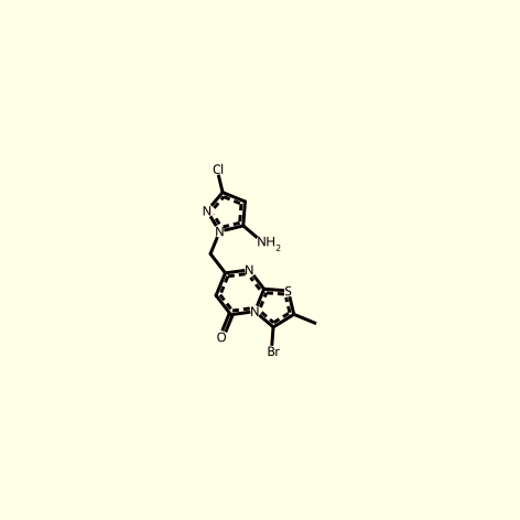 Cc1sc2nc(Cn3nc(Cl)cc3N)cc(=O)n2c1Br